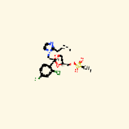 CCc1nccn1C[C@@]1(c2ccc(Cl)cc2Cl)OC[C@@H](COS(C)(=O)=O)O1